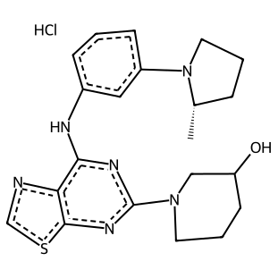 C[C@H]1CCCN1c1cccc(Nc2nc(N3CCCC(O)C3)nc3scnc23)c1.Cl